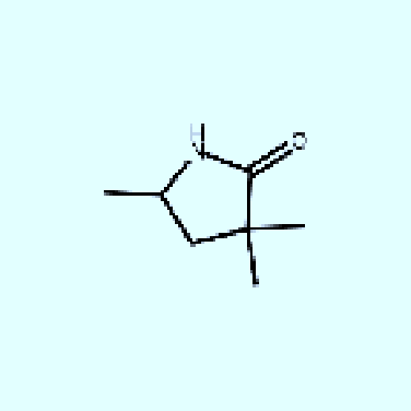 CC1CC(C)(C)C(=O)N1